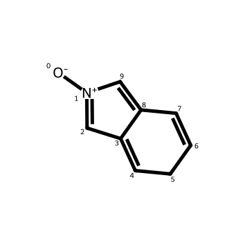 [O-][N+]1=CC2=CCC=CC2=C1